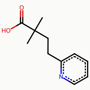 CC(C)(CCc1ccccn1)C(=O)O